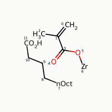 C=C(C)C(=O)[O][Zr].CCCCCCCCCCCC(=O)O